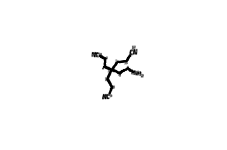 N#CCCC(CCN)(CCC#N)CCC#N